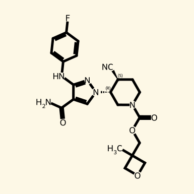 CC1(COC(=O)N2CC[C@H](C#N)[C@@H](n3cc(C(N)=O)c(Nc4ccc(F)cc4)n3)C2)COC1